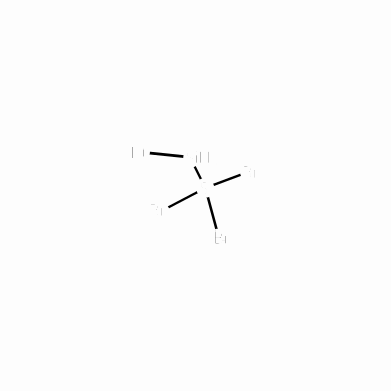 CC[SiH2][Si](Br)(Br)Br